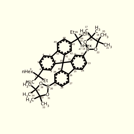 CCCCCCC(C)(CC)c1ccc2c(c1)C1(c3cc(B4OC(C)(C)C(C)(C)O4)ccc3-c3ccc(B4OC(C)(C)C(C)(C)O4)cc31)c1cc(C(C)(CC)CCCCCC)ccc1-2